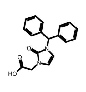 O=C(O)Cn1ccn(C(c2ccccc2)c2ccccc2)c1=O